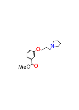 COC(=O)c1cccc(OCCCN2CCCC2)c1